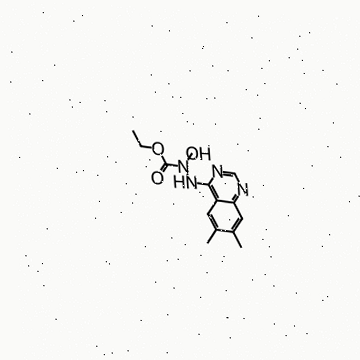 CCOC(=O)N(O)Nc1ncnc2cc(C)c(C)cc12